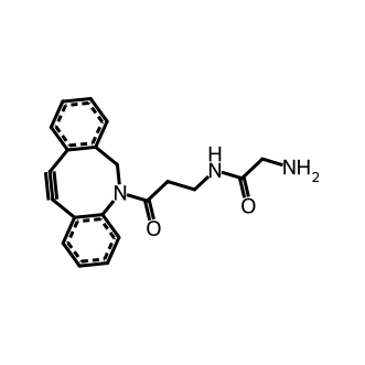 NCC(=O)NCCC(=O)N1Cc2ccccc2C#Cc2ccccc21